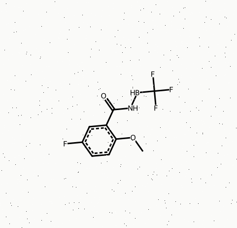 COc1ccc(F)cc1C(=O)NBC(F)(F)F